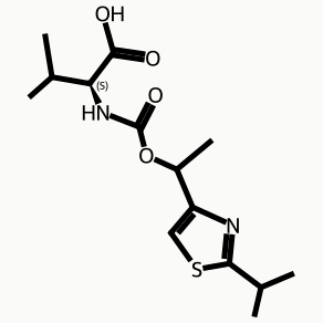 CC(C)c1nc(C(C)OC(=O)N[C@H](C(=O)O)C(C)C)cs1